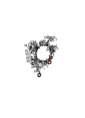 CC[C@H](C)[C@H](NC(=O)[C@H](C)NC)C(=O)N[C@H]1CSSC(C)(C)[C@@H](C(=O)N[C@H](C(=O)N2CCC[C@H]2C(=O)N[C@@H](CC(=O)NCc2ccccc2)C(N)=O)[C@@H](C)CC)NC(=O)[C@H]([C@@H](C)CC)NC(=O)[C@@H]2C[C@@H]3CCCC[C@@H]3N2C(=O)[C@@H]2CCCN2C(=O)[C@H](CC(C)C)NC(=O)[C@H](CO)NC(=O)[C@H](CCCNC(=N)N)NC(=O)[C@H](CO)NC1=O